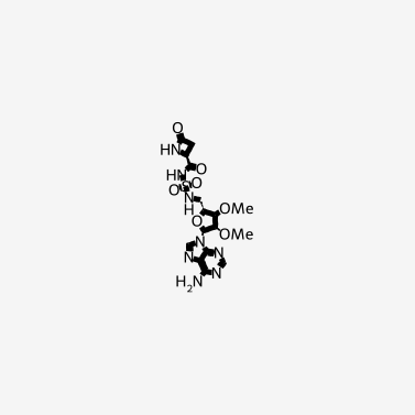 COC1[C@@H](CNS(=O)(=O)NC(=O)[C@@H]2CC(=O)N2)O[C@@H](n2cnc3c(N)ncnc32)[C@H]1OC